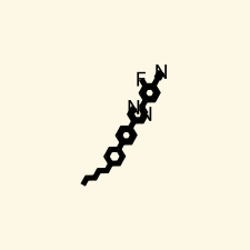 CCCCCC1CCC(c2ccc(-c3cnc(-c4ccc(C#N)c(F)c4)nc3)cc2)CC1